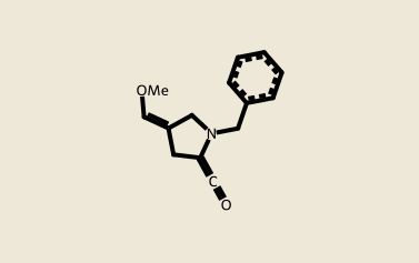 COC=C1CC(=C=O)N(Cc2ccccc2)C1